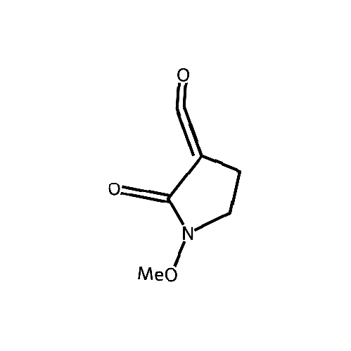 CON1CCC(=C=O)C1=O